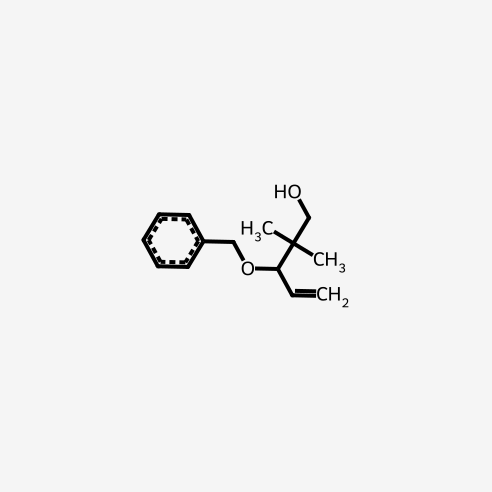 C=CC(OCc1ccccc1)C(C)(C)CO